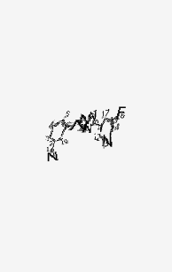 N#Cc1cccc(-n2nnc(-c3cncc(F)c3)n2)c1